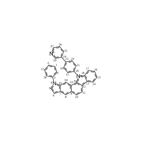 c1ccc(-n2ccc3cc4ccc5c6ccccc6n(-c6ccc(-c7cccnc7)cc6)c5c4cc32)cc1